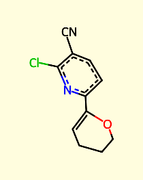 N#Cc1ccc(C2=CCCCO2)nc1Cl